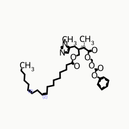 CCCCC/C=C\C/C=C\CCCCCCCC(=O)OCC(Cc1cncn1C)[C@H](CC)C(=O)OCOC(=O)Oc1ccccc1